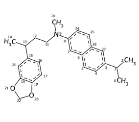 CC(C)c1ccc2cc(N(C)CCC(C)c3ccc4c(c3)OCO4)ccc2c1